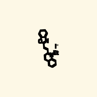 CC[n+]1c(/C=C/c2nc3ccccc3o2)ccc2ccccc21.[I-]